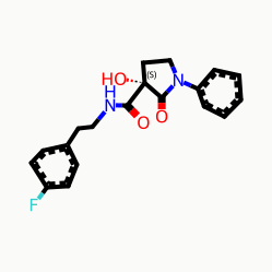 O=C(NCCc1ccc(F)cc1)[C@@]1(O)CCN(c2ccccc2)C1=O